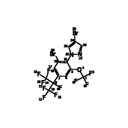 FC(F)(F)Oc1cc(C(F)(C(F)(F)F)C(F)(F)F)cc(Br)c1-n1cc(Br)cn1